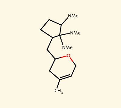 CNC1CCC(CC2CC(C)=CCO2)C1(NC)NC